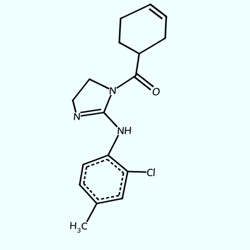 Cc1ccc(NC2=NCCN2C(=O)C2CC=CCC2)c(Cl)c1